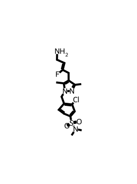 Cc1nn(Cc2ccc(S(=O)(=O)N(C)C)cc2Cl)c(C)c1CC(F)=CCN